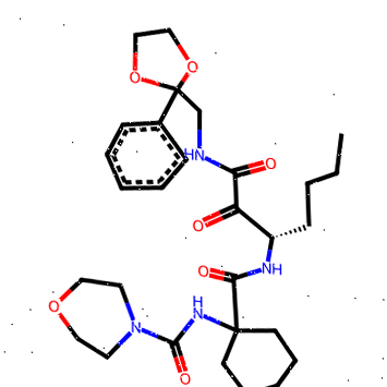 CCCC[C@H](NC(=O)C1(NC(=O)N2CCOCC2)CCCCC1)C(=O)C(=O)NCC1(c2ccccc2)OCCO1